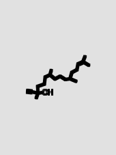 C#CC(C)(O)CCCC(C)CCCC(C)CCC=C(C)C